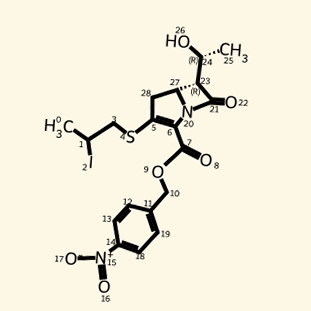 CC(I)CSC1=C(C(=O)OCc2ccc([N+](=O)[O-])cc2)N2C(=O)[C@@H]([C@@H](C)O)C2C1